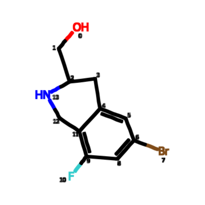 OCC1Cc2cc(Br)cc(F)c2CN1